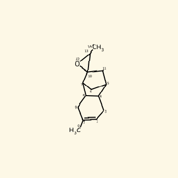 CC1=CCC2C3CC(C2C1)C1(C3)OC1C